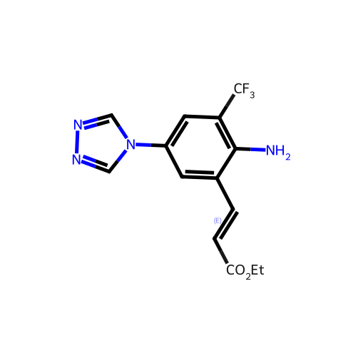 CCOC(=O)/C=C/c1cc(-n2cnnc2)cc(C(F)(F)F)c1N